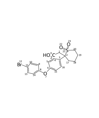 O=C(O)CC1(c2ccc(Oc3ccc(Br)cc3)cc2)CCCCS1(=O)=O